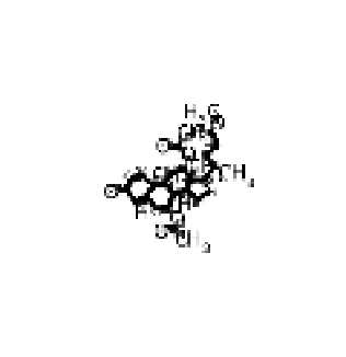 COC(=O)CC[C@@H](C)[C@H]1CC[C@H]2C3C(C[C@H](OC(C)=O)[C@]12C)[C@@]1(C)C=CC(=O)C[C@H]1C[C@H]3OC(C)=O